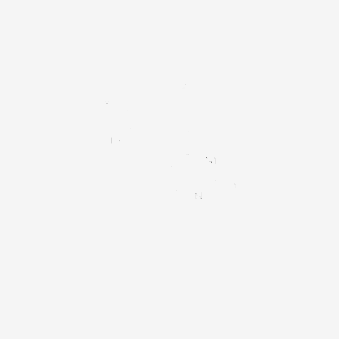 O=C1NC(=O)N(c2ccccc2)C(=O)C1=Cc1cc(Br)cc(Br)c1O